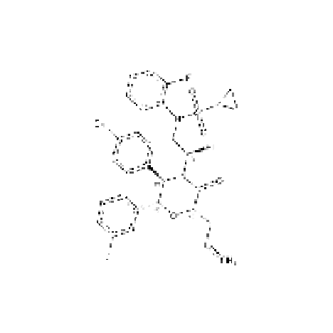 C=CC[C@@H]1O[C@H](c2cccc(Cl)c2)[C@@H](c2ccc(Cl)cc2)N([C@H](CC)CN(c2ccccc2F)S(=O)(=O)C2CC2)C1=O